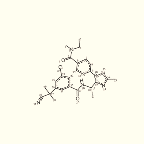 CCN(C)C(=O)c1ccc(-n2nc(C)nc2[C@H](C)NC(=O)c2cc(Cl)cc(C(C)(C)C#N)c2)nc1